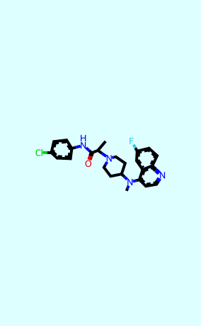 CC(C(=O)Nc1ccc(Cl)cc1)N1CCC(N(C)c2ccnc3ccc(F)cc23)CC1